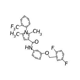 Cc1cc(C(=O)Nc2cccc(OCc3cc(F)ccc3F)c2)c(C)n1-c1ccccc1C(F)(F)F